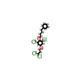 ClC(Cl)=CCOc1cc(Cl)c(OCCCCc2ccccc2)c(Cl)c1